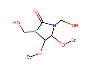 CCOC1C(OCC)N(CO)C(=O)N1CO